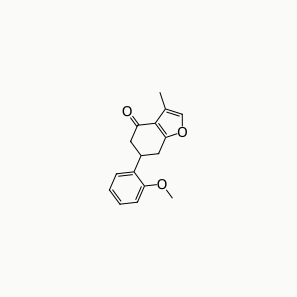 COc1ccccc1C1CC(=O)c2c(C)coc2C1